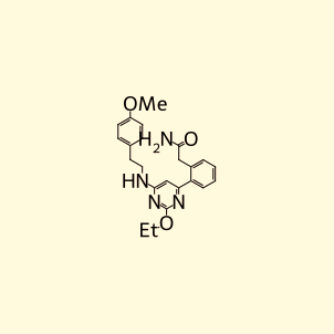 CCOc1nc(NCCc2ccc(OC)cc2)cc(-c2ccccc2CC(N)=O)n1